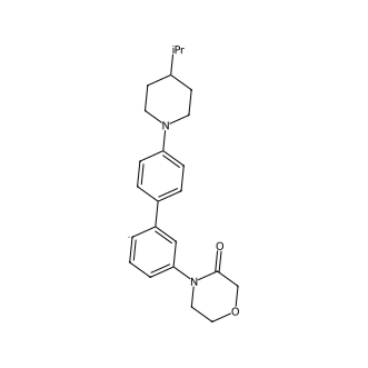 CC(C)C1CCN(c2ccc(-c3[c]ccc(N4CCOCC4=O)c3)cc2)CC1